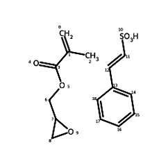 C=C(C)C(=O)OCC1CO1.O=S(=O)(O)C=Cc1ccccc1